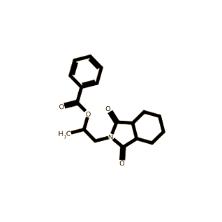 CC(CN1C(=O)C2CCCCC2C1=O)OC(=O)c1ccccc1